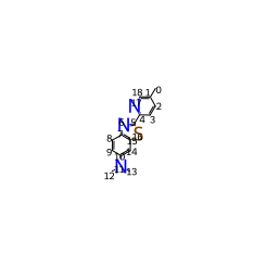 Cc1ccc(-c2nc3ccc(N(C)C)cc3s2)nc1